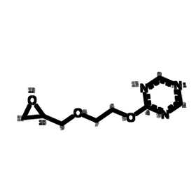 c1ncnc(OCCOCC2CO2)n1